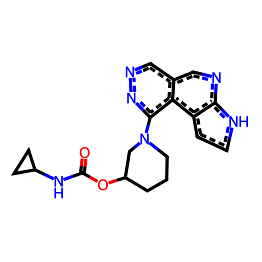 O=C(NC1CC1)OC1CCCN(c2nncc3cnc4[nH]ccc4c23)C1